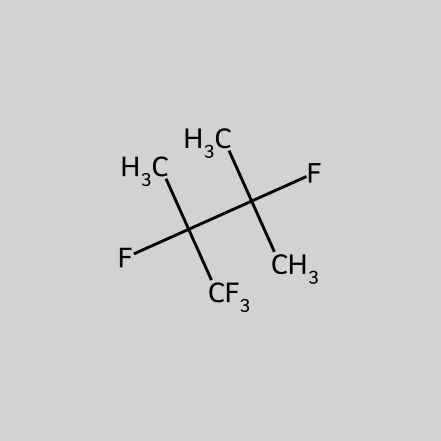 CC(C)(F)C(C)(F)C(F)(F)F